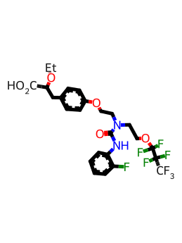 CCOC(Cc1ccc(OCCN(CCOC(F)(F)C(F)(F)C(F)(F)F)C(=O)Nc2ccccc2F)cc1)C(=O)O